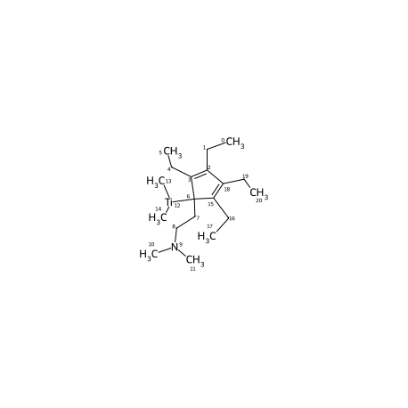 CCC1=C(CC)[C](CCN(C)C)([Ti]([CH3])[CH3])C(CC)=C1CC